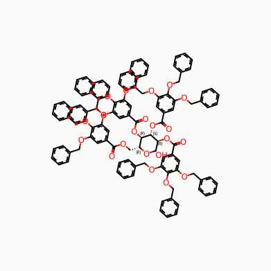 O=C(OC[C@H]1OC(O)[C@H](OC(=O)c2cc(OCc3ccccc3)c(OCc3ccccc3)c(OCc3ccccc3)c2)[C@@H](OC(=O)c2cc(OCc3ccccc3)c(OCc3ccccc3)c(OCc3ccccc3)c2)[C@@H]1OC(=O)c1cc(OCc2ccccc2)c(OCc2ccccc2)c(OCc2ccccc2)c1)c1cc(OCc2ccccc2)c(OCc2ccccc2)c(OCc2ccccc2)c1